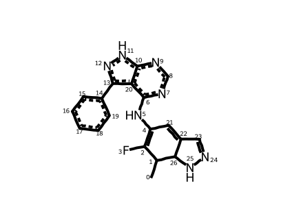 CC1C(F)=C(Nc2ncnc3[nH]nc(-c4ccccc4)c23)C=C2C=NNC21